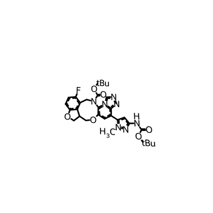 Cn1nc(NC(=O)OC(C)(C)C)cc1-c1cc2c(n3cnnc13)N(C(=O)OC(C)(C)C)Cc1c(F)ccc3c1C(CO3)CO2